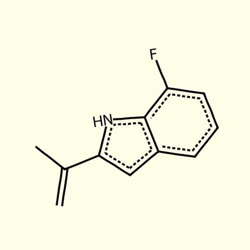 C=C(C)c1cc2cccc(F)c2[nH]1